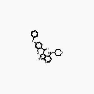 O=C(c1ccc(Oc2ccccc2)cc1Cl)c1c[nH]c2nccc(NC3CCOCC3)c12